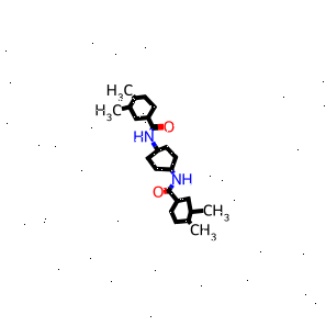 CC1CCC(C(=O)NC2CCC(NC(=O)C3CCC(C)C(C)C3)CC2)CC1C